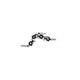 CCCCCCCOc1ccc(C(=O)Oc2ccc(CN(CC(=O)O)C(=O)c3ccc(NC(=O)c4ccc(OC)cn4)cc3)cc2)cc1